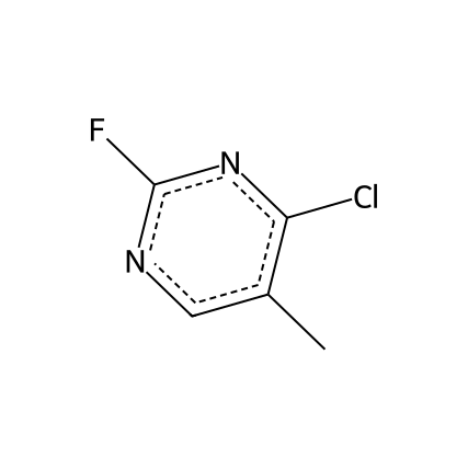 Cc1cnc(F)nc1Cl